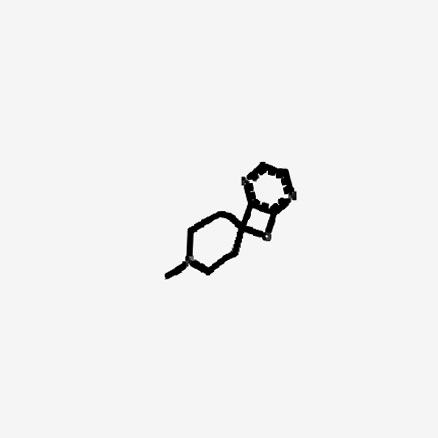 CN1CCC2(CC1)Oc1nccnc12